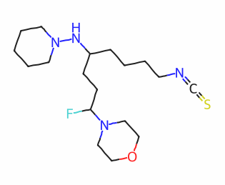 FC(CCC(CCCCN=C=S)NN1CCCCC1)N1CCOCC1